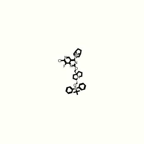 CC(C)(C)[Si](OC[C@@H]1CC[C@]2(COc3nc(N4CC5CCC(C4)N5)c4cnc(Cl)c(F)c4n3)CCCN12)(c1ccccc1)c1ccccc1